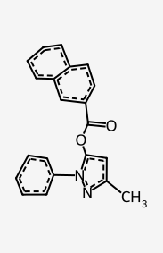 Cc1cc(OC(=O)c2ccc3ccccc3c2)n(-c2ccccc2)n1